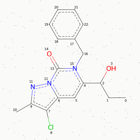 CCC(O)c1cc2c(Cl)c(C)nn2c(=O)n1Cc1ccccc1